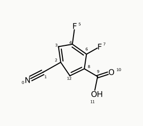 N#Cc1cc(F)c(F)c(C(=O)O)c1